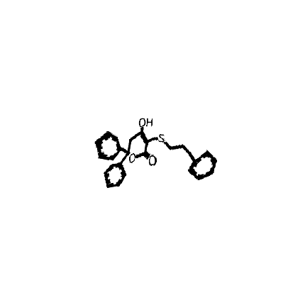 O=C1OC(c2ccccc2)(c2ccccc2)CC(O)=C1SCCc1ccccc1